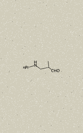 CCCNCC(C)C=O